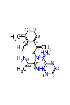 C=C(CN(C(=N)c1cnccn1)C(=N)[C@@H](C)N)c1cccc(C)c1C